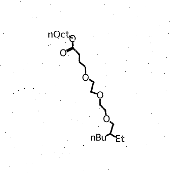 CCCCCCCCOC(=O)CCCOCCOCCOCC(CC)CCCC